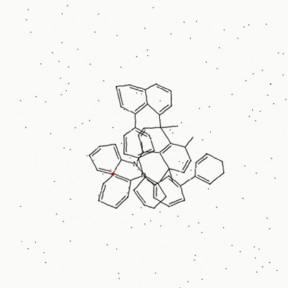 CC1C=CC2(C)C3=C(C=CCC3)N(c3ccccc3)C3(C)C=CC(C)(c4cccc5cccc(-c6ccc(N(c7ccccc7)c7cccc(C8=CCCC=C8)c7)cc6)c45)C1=C23